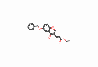 CCOC(=O)/C=C/c1coc2ccc(OCc3ccccc3)cc2c1=O